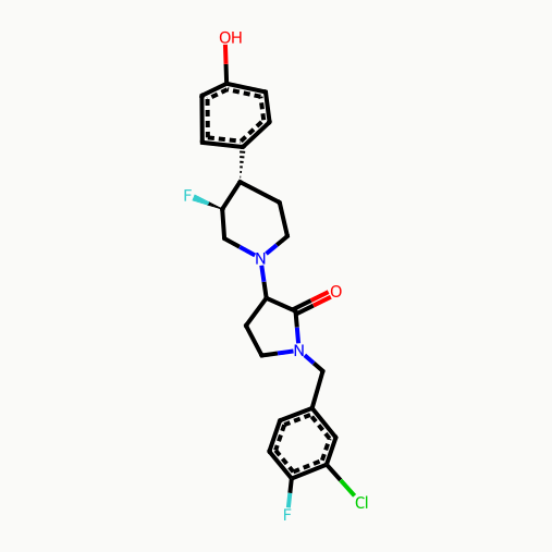 O=C1C(N2CC[C@@H](c3ccc(O)cc3)[C@H](F)C2)CCN1Cc1ccc(F)c(Cl)c1